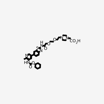 Cc1ncc(-c2ccc3nc(NC(=O)COCCOCCN4CCN(CC(=O)O)CC4)sc3c2)cc1NC(=O)OC1CCCCC1